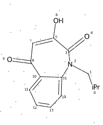 CC(C)Cn1c(=O)c(O)cc(=O)c2ccccc21